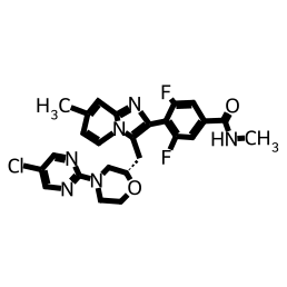 CNC(=O)c1cc(F)c(-c2nc3cc(C)ccn3c2C[C@H]2CN(c3ncc(Cl)cn3)CCO2)c(F)c1